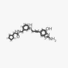 Nc1nc2c(O)cc(C#CCNc3cccc(CNC(=O)CC4CCCC4)c3)cc2s1